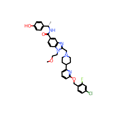 COCCn1c(CN2CCC(c3cccc(OCc4ccc(Cl)cc4F)n3)CC2)nc2cc(C(=O)N[C@@H](C)c3ccc(O)cc3)ccc21